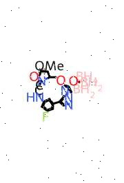 BC(B)(B)Oc1cn2ncc3c2nc1OCC1C[C@@H](OC)C(=O)N1CCNc1cc(F)cc-3c1